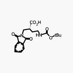 CC(C)(C)OC(=O)NCC[C@H](CN1C(=O)c2ccccc2C1=O)C(=O)O